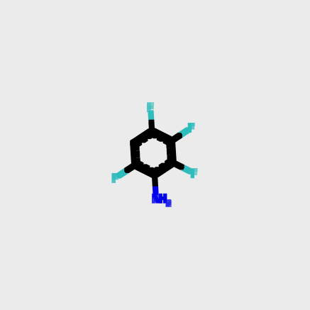 Nc1c(F)cc(F)c(F)c1F